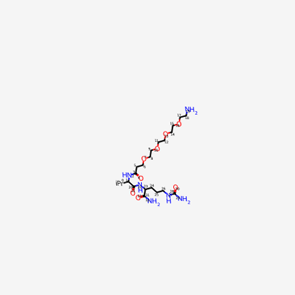 CC(C)C(NC(=O)CCOCCOCCOCCOCCN)C(=O)NC(CCCNC(N)=O)C(N)=O